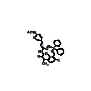 CC(=O)Nc1ccc(/C=C/C(=O)NCC(=O)N(C)c2ccc(Cl)c(CO[Si](c3ccccc3)(c3ccccc3)C(C)(C)C)c2Cl)cn1